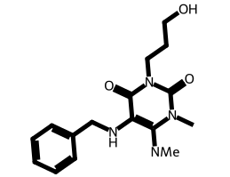 CNc1c(NCc2ccccc2)c(=O)n(CCCO)c(=O)n1C